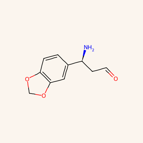 N[C@@H](CC=O)c1ccc2c(c1)OCO2